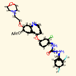 COc1cc2c(Oc3ccc(NC(=O)Nc4ccc(F)cc4F)c(Cl)c3)ccnc2cc1OCCN1CCOCC1